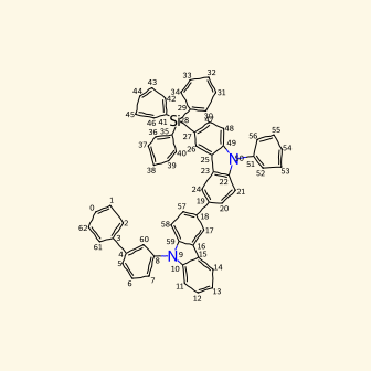 c1ccc(-c2cccc(-n3c4ccccc4c4cc(-c5ccc6c(c5)c5cc([Si](c7ccccc7)(c7ccccc7)c7ccccc7)ccc5n6-c5ccccc5)ccc43)c2)cc1